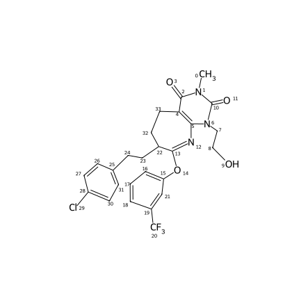 Cn1c(=O)c2c(n(CCO)c1=O)N=C(Oc1cccc(C(F)(F)F)c1)C(CCc1ccc(Cl)cc1)CC2